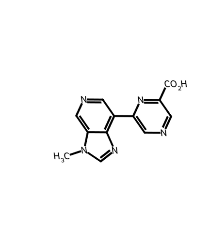 Cn1cnc2c(-c3cncc(C(=O)O)n3)cncc21